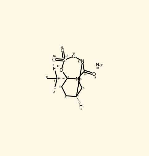 CC(F)(F)[C@@]12CC[C@@H]3CN1C(=O)N3OS(=O)(=O)O2.[Na]